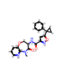 CN1C(=O)C(NC(=O)c2cc(C3(c4ccccc4)CC3)on2)COc2cccnc21